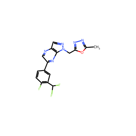 Cc1nnc(Cn2ncc3ncc(-c4ccc(F)c(C(F)F)c4)nc32)o1